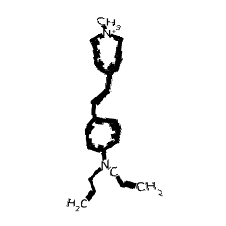 C=CCN(CC=C)c1ccc(C=Cc2cc[n+](C)cc2)cc1